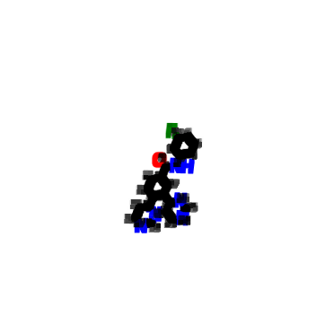 O=C(Nc1cccc(F)c1)c1ccc(-c2ccncn2)c(-c2ccncn2)c1